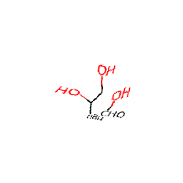 CCCCC(O)CO.O=CO